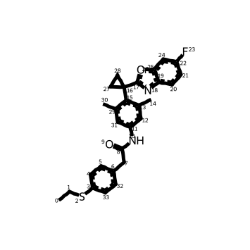 CCSc1ccc(CC(=O)Nc2cc(C)c(C3(c4nc5ccc(F)cc5o4)CC3)c(C)c2)cc1